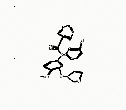 COc1ccc(N(C(=O)c2cccnc2)c2cccc(Cl)c2)cc1OC1CCOC1